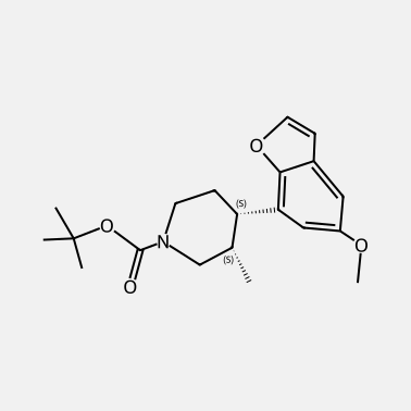 COc1cc([C@H]2CCN(C(=O)OC(C)(C)C)C[C@H]2C)c2occc2c1